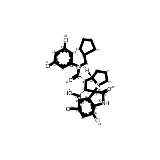 O=C(O)[C@@H]1[C@H](C(=O)N(CC2CCCC2)c2cc(Cl)cc(Cl)c2)[C@@H]2CCCN2C12C(=O)Nc1c(Cl)cc(Cl)cc12